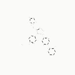 COc1ccc(C2C(Cn3nccn3)=NNN2c2ccc(-c3ccccc3C)cn2)cn1